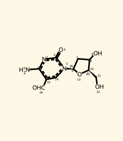 Nc1nc(=O)n([C@H]2CC(O)[C@@H](CO)O2)cc1C=O